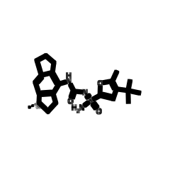 Cc1oc(S(N)(=O)=NC(=O)Nc2c3c(cc4c2CC[C@@H]4C)CCC3)cc1C(C)(C)C